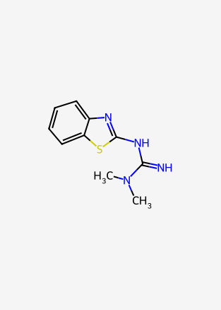 CN(C)C(=N)Nc1nc2ccccc2s1